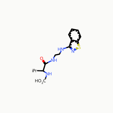 CC(C)C(NC(=O)O)C(=O)NCCNc1nsc2ccccc12